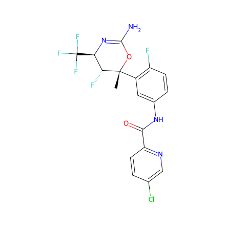 C[C@]1(c2cc(NC(=O)c3ccc(Cl)cn3)ccc2F)OC(N)=N[C@H](C(F)(F)F)[C@H]1F